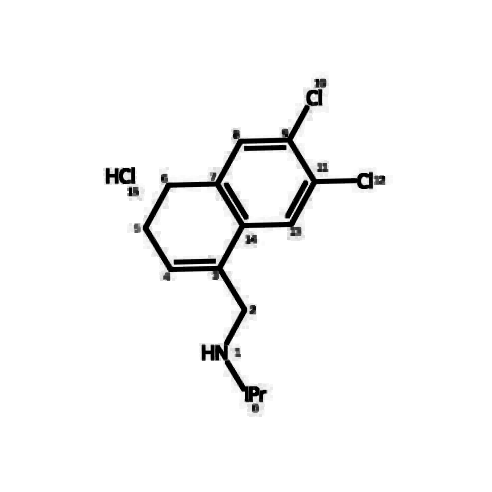 CC(C)NCC1=CCCc2cc(Cl)c(Cl)cc21.Cl